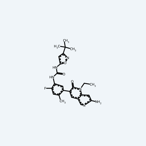 CCn1c(=O)c(-c2cc(NC(=O)Nc3cc(C(C)(C)C)no3)c(F)cc2C)cc2cnc(N)cc21